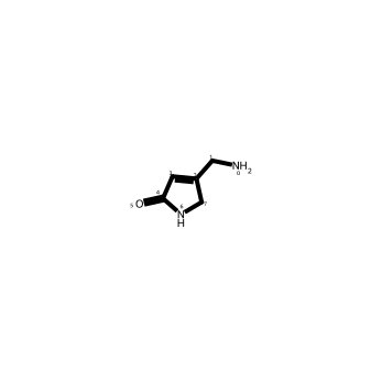 NCC1=CC(=O)NC1